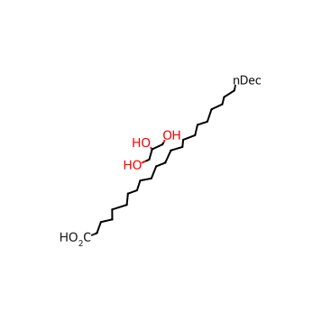 CCCCCCCCCCCCCCCCCCCCCCCCCCCCCCCC(=O)O.OCC(O)CO